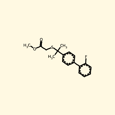 COC(=O)CSC(C)(C)c1ccc(-c2ccccc2F)cc1